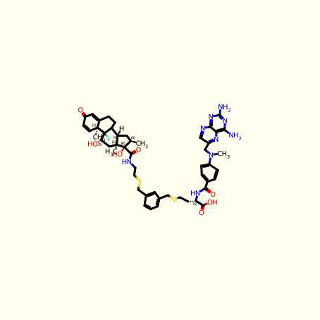 C[C@@H]1C[C@H]2C3CCC4=CC(=O)C=C[C@]4(C)[C@@]3(F)[C@@H](O)C[C@]2(C)[C@@]1(O)C(=O)NCCSCc1cccc(CSCC[C@H](NC(=O)c2ccc(N(C)Cc3cnc4nc(N)nc(N)c4n3)cc2)C(=O)O)c1